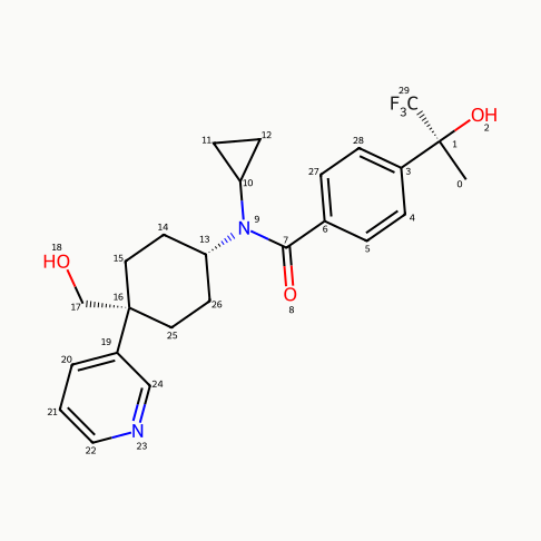 C[C@](O)(c1ccc(C(=O)N(C2CC2)[C@H]2CC[C@](CO)(c3cccnc3)CC2)cc1)C(F)(F)F